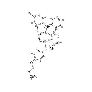 COCCOc1ccc(C2NC(=O)N([C@H](C(=O)Nc3ccc(I)cc3C)[C@@H](C)c3ccccc3)C2=O)cc1